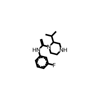 C=C(Nc1cccc(F)c1)N1CCNCC1C(C)C